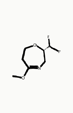 COC1=NC[C@@H](C(F)F)OCC1